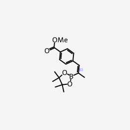 COC(=O)c1ccc(/C=C(/C)B2OC(C)(C)C(C)(C)O2)cc1